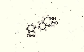 COc1cccc(-c2ccc3c(c2)CCNC(=O)N3)c1